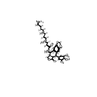 COc1cc(C2c3cc4c(cc3C(NC(=O)CCNCCCNCCCCN)C3COC(=O)C23)OCO4)cc(OC)c1O